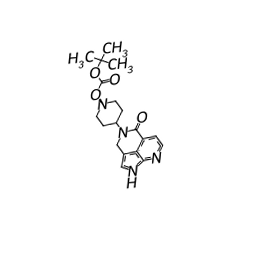 CC(C)(C)OC(=O)ON1CCC(N2Cc3c[nH]c4nccc(c34)C2=O)CC1